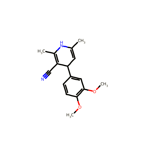 COc1ccc(C2C=C(C)NC(C)=C2C#N)cc1OC